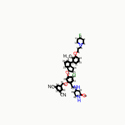 Cc1c(OCCCN2CCC(F)CC2)cccc1-c1cccc2c1CC[C@@H]2Oc1cc(OCc2cc(C#N)cc(C#N)c2)c(CNC2CCNC(=O)C2)cc1Cl